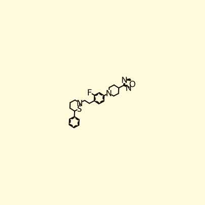 Fc1cc(N2CCC(c3ncon3)CC2)ccc1CCN1CCCC(c2ccccc2)S1